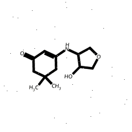 CC1(C)CC(=O)C=C(NC2COCC2O)C1